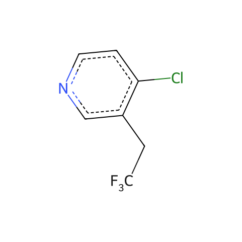 FC(F)(F)Cc1cnccc1Cl